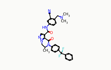 C[C@H]1Cn2ncc(C(=O)Nc3ccc(CN(C)C)c(C#N)c3)c2C(=O)N1c1ccc(C(F)(F)c2ccccc2)cc1